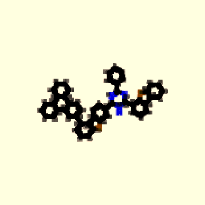 c1ccc(C2=NC(c3ccc4c(c3)sc3cccc(-c5ccc6c7ccccc7c7ccccc7c6c5)c34)NC(c3cccc4c3sc3ccccc34)=N2)cc1